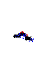 N#Cc1ccc(NC(=O)N2CC(C(=O)N3CCCN(C4CCC4)CC3)C2)cc1